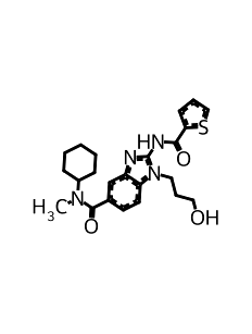 CN(C(=O)c1ccc2c(c1)nc(NC(=O)c1cccs1)n2CCCO)C1CCCCC1